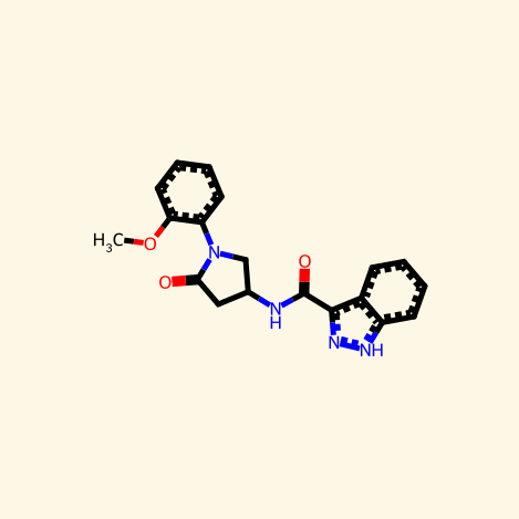 COc1ccccc1N1CC(NC(=O)c2n[nH]c3ccccc23)CC1=O